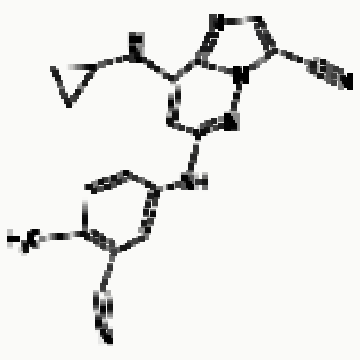 Cc1ccc(Nc2cc(NC3CC3)c3ncc(C#N)n3n2)cc1C#N